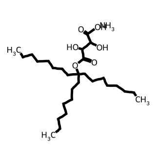 CCCCCCCCC(CCCCCCCC)(CCCCCCCC)OC(=O)C(O)C(O)C(=O)O.N